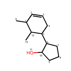 CC1C=CCC(C2CCCC2O)C1C